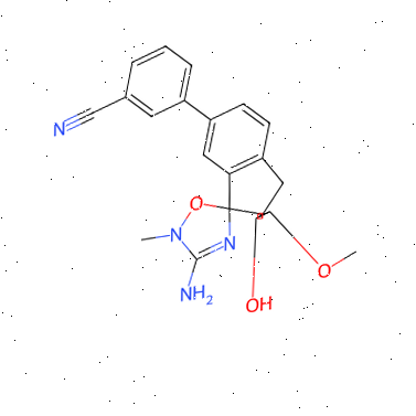 COC1CC2(Cc3ccc(-c4cccc(C#N)c4)cc3C23N=C(N)N(C)O3)CC1O